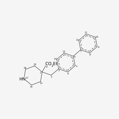 CCOC(=O)C1(Cc2ccc(-c3ccccc3)cc2)CCNCC1